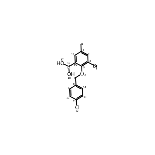 Cc1cc(Br)c(OCc2ccc(Cl)cc2)c(B(O)O)c1